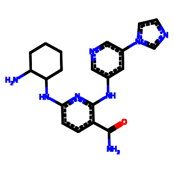 NC(=O)c1ccc(NC2CCCCC2N)nc1Nc1cncc(-n2ccnc2)c1